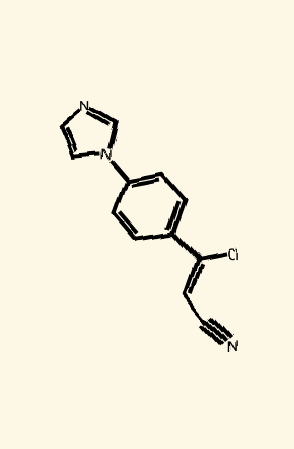 N#CC=C(Cl)c1ccc(-n2ccnc2)cc1